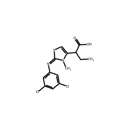 CCC(C(=O)O)c1csc(=Nc2cc(Cl)cc(Cl)c2)n1C